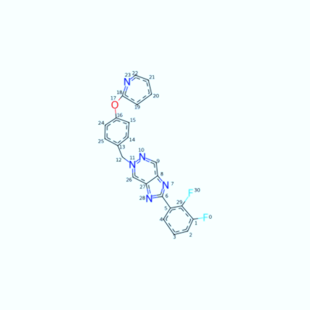 Fc1cccc(-c2nc3cnn(Cc4ccc(Oc5ccccn5)cc4)cc-3n2)c1F